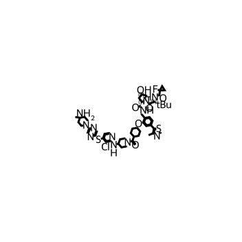 Cc1ncsc1-c1ccc(CNC(=O)[C@@H]2C[C@@H](O)CN2C(=O)[C@@H](NC(=O)C2(F)CC2)C(C)(C)C)c(OC2CCC(C(=O)N3CCC(Nc4nccc(Sc5cnc(N6CCC(C)(N)CC6)cn5)c4Cl)CC3)CC2)c1